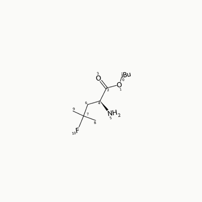 CCC(C)OC(=O)[C@@H](N)CC(C)(C)F